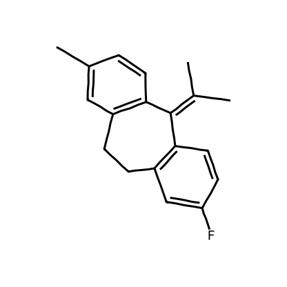 CC(C)=C1c2ccc(C)cc2CCc2cc(F)ccc21